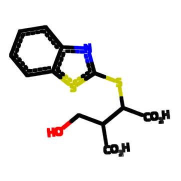 O=C(O)C(CO)C(Sc1nc2ccccc2s1)C(=O)O